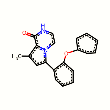 Cc1cc(-c2ccccc2Oc2ccccc2)n2cc[nH]c(=O)c12